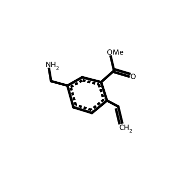 C=Cc1ccc(CN)cc1C(=O)OC